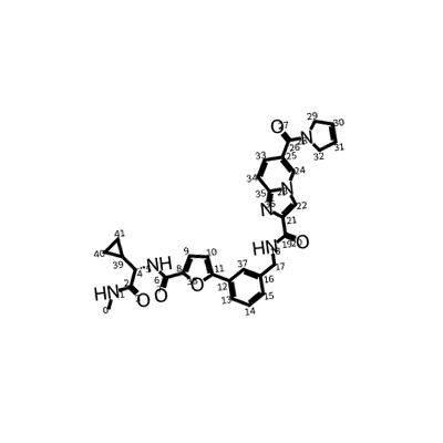 CNC(=O)[C@@H](NC(=O)c1ccc(-c2cccc(CNC(=O)c3cn4cc(C(=O)N5CC=CC5)ccc4n3)c2)o1)C1CC1